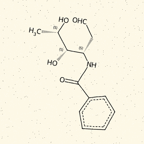 C[C@H](O)[C@@H](O)[C@H](CC=O)NC(=O)c1ccccc1